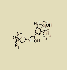 CC1(C)c2ccc(C(O)CNC3CCC(C)([SH](=N)=O)CC3)cc2C(C)(C)N1O